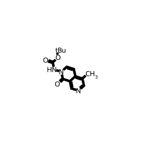 Cc1cncc2c(=O)n(NC(=O)OC(C)(C)C)ccc12